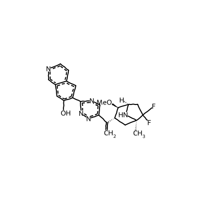 C=C(c1cnc(-c2cc3ccncc3cc2O)nn1)[C@H]1C[C@@]2(C)N[C@H](CC2(F)F)[C@@H]1OC